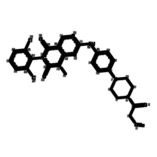 COCC(=O)N1CCN(c2ccc(Nc3ncc4c(=O)n(-c5c(Cl)cccc5Cl)c(=O)n(C)c4n3)cc2)CC1